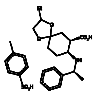 CCC1COC2(CC[C@H](N[C@@H](C)c3ccccc3)[C@H](C(=O)O)C2)O1.Cc1ccc(S(=O)(=O)O)cc1